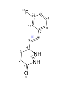 O=C1CCC(/C=C/c2cccc(F)c2)NN1